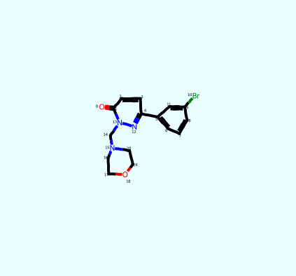 O=c1ccc(-c2cccc(Br)c2)nn1CN1CCOCC1